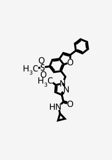 Cc1cc(C(=O)NC2CC2)nn1Cc1cc(S(C)(=O)=O)cc2cc(-c3ccccc3)oc12